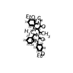 CCOC(=O)Cn1c(=O)c(C(C)N(C(=O)Nc2ccc(OCC)cc2)C(C)c2ccccc2)nc2ccccc21